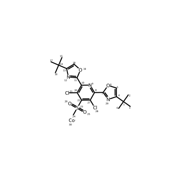 CC(C)(C)c1coc(-c2nc(-c3nc(C(C)(C)C)co3)c(Cl)c(S(C)(=O)=O)c2Cl)n1.[Co]